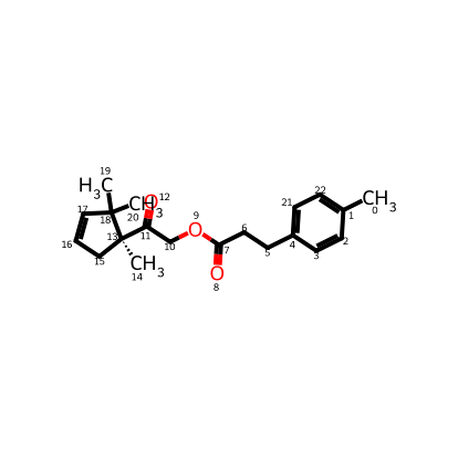 Cc1ccc(CCC(=O)OCC(=O)[C@@]2(C)CC=CC2(C)C)cc1